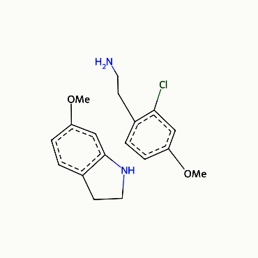 COc1ccc(CCN)c(Cl)c1.COc1ccc2c(c1)NCC2